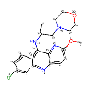 COc1ccc2nc3cc(Cl)ccc3c(NC(C)CN3CCOCC3)c2n1